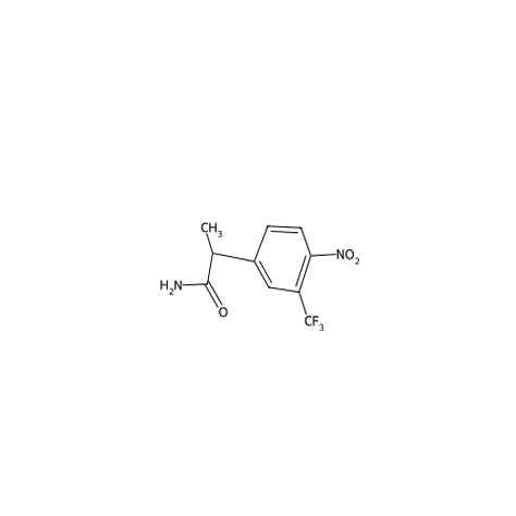 CC(C(N)=O)c1ccc([N+](=O)[O-])c(C(F)(F)F)c1